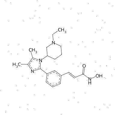 CCN1CCCC(n2c(-c3cccc(C=CC(=O)NO)c3)nc(C)c2C)C1